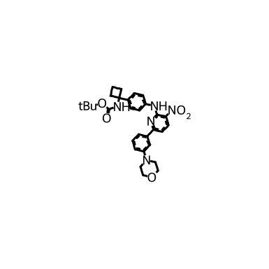 CC(C)(C)OC(=O)NC1(c2ccc(Nc3nc(-c4cccc(N5CCOCC5)c4)ccc3[N+](=O)[O-])cc2)CCC1